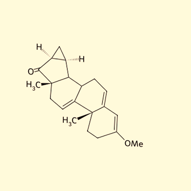 COC1=CC2=CCC3C(=CC[C@]4(C)C(=O)[C@H]5C[C@H]5C34)[C@@]2(C)CC1